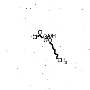 CCCCCCCCOP(=O)(O)OCC(Cl)Cl